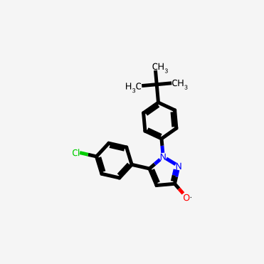 CC(C)(C)c1ccc(-n2nc([O])cc2-c2ccc(Cl)cc2)cc1